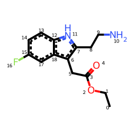 CCOC(=O)Cc1c(CCN)[nH]c2ccc(F)cc12